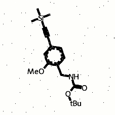 COc1cc(C#C[Si](C)(C)C)ccc1CNC(=O)OC(C)(C)C